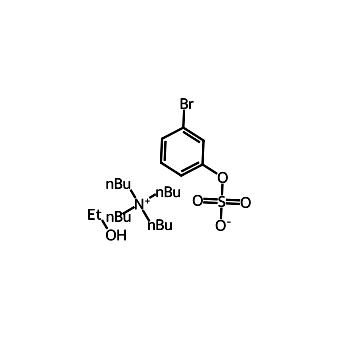 CCCC[N+](CCCC)(CCCC)CCCC.CCO.O=S(=O)([O-])Oc1cccc(Br)c1